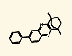 CC12CCC(C)(CC1)c1nc3cc(-c4ccccc4)ccc3nc12